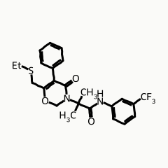 CCSCC1=C(c2ccccc2)C(=O)N(C(C)(C)C(=O)Nc2cccc(C(F)(F)F)c2)CO1